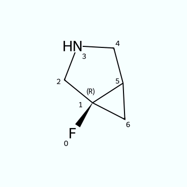 F[C@@]12CNCC1C2